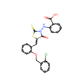 O=C(O)c1ccccc1NN1C(=O)C(=Cc2ccccc2OCc2ccccc2Cl)SC1=S